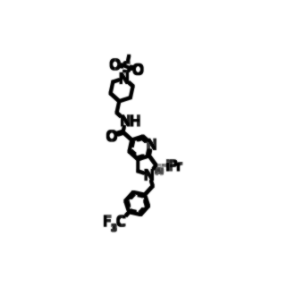 CC(C)[C@H]1c2ncc(C(=O)NCC3CCN(S(C)(=O)=O)CC3)cc2CN1Cc1ccc(C(F)(F)F)cc1